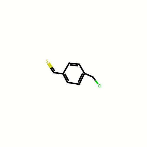 S=Cc1ccc(CCl)cc1